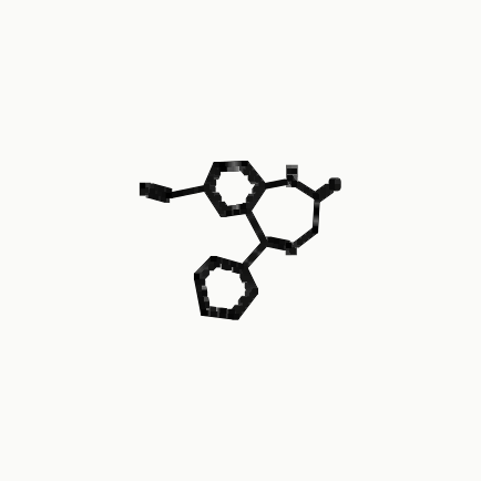 N#Cc1ccc2c(c1)C(c1ccccc1)=NCC(=O)N2